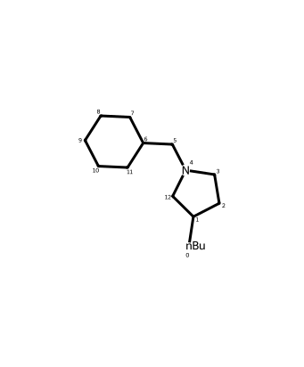 CCCCC1CCN(CC2CCCCC2)C1